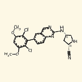 COc1cc(OC)c(Cl)c(-c2ccc3nc(N[C@@H]4CN[C@H](C#N)C4)ncc3c2)c1Cl